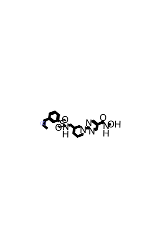 C/C=C\c1cccc(S(=O)(=O)NCC2CCCN(c3ncc(C(=O)NO)cn3)C2)c1